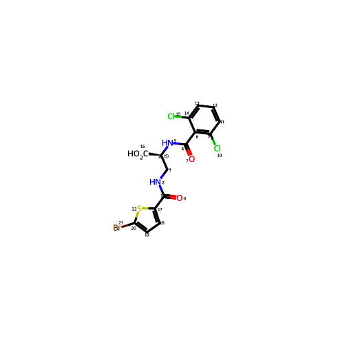 O=C(NC[C@H](NC(=O)c1c(Cl)cccc1Cl)C(=O)O)c1ccc(Br)s1